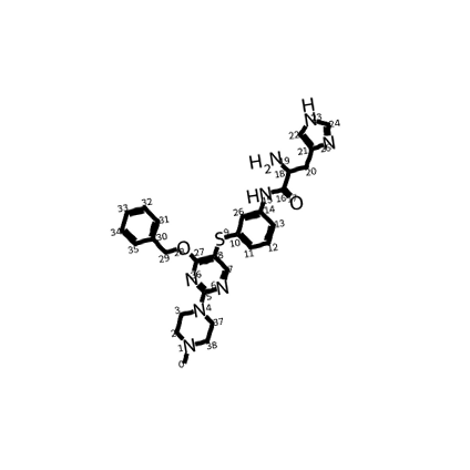 CN1CCN(c2ncc(Sc3cccc(NC(=O)C(N)Cc4c[nH]cn4)c3)c(OCc3ccccc3)n2)CC1